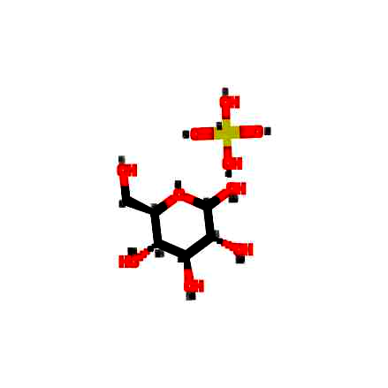 O=S(=O)(O)O.OC[C@H]1OC(O)[C@H](O)[C@@H](O)[C@@H]1O